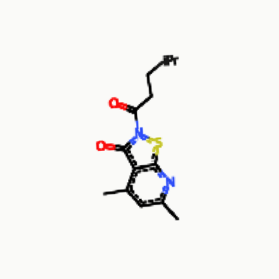 Cc1cc(C)c2c(=O)n(C(=O)CCC(C)C)sc2n1